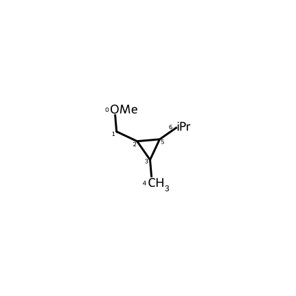 COCC1C(C)C1C(C)C